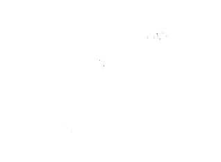 COC[C@H]1CN(c2coc3cc(C(=O)O)ccc23)C(=O)O1